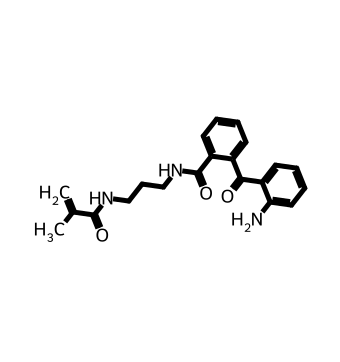 C=C(C)C(=O)NCCCNC(=O)c1ccccc1C(=O)c1ccccc1N